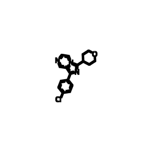 Clc1ccc(-c2nc(C3CCOCC3)n3ccncc23)cc1